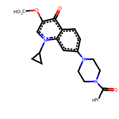 CCCC(=O)N1CCN(c2ccc3c(=O)c(OC(=O)O)cn(C4CC4)c3c2)CC1